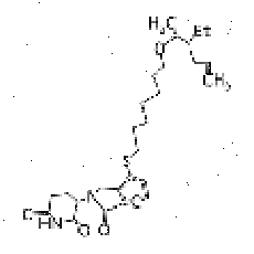 C=CCC(CC)C(C)OCCCCCCCSc1cccc2c1CN(C1CCC(=O)NC1=O)C2=O